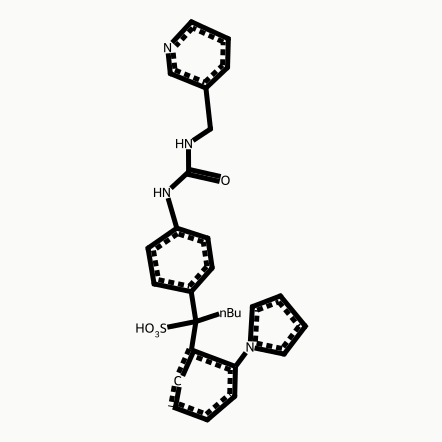 CCCCC(c1ccc(NC(=O)NCc2cccnc2)cc1)(c1ccccc1-n1cccc1)S(=O)(=O)O